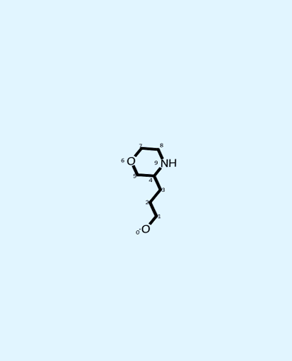 [O]CCCC1COCCN1